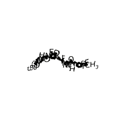 CC(C)(C)OC(=O)N1CCN(CC(=O)Nc2ccn(CCC(F)Cn3cc(C(=O)NCc4cccc(OC(C)(F)F)c4)nn3)c(=O)c2F)CC1